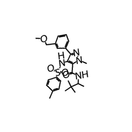 COCc1cccc(-c2nn(C)c(C(=O)NC(C)C(C)(C)C)c2NS(=O)(=O)c2ccc(C)cc2)c1